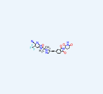 CC(C)(C(=O)Nc1cnc(C#N)c(C(F)(F)F)c1)n1cc(C#Cc2ccc3c(c2)C(=O)N(C2CCC(=O)NC2=O)C3=O)cn1